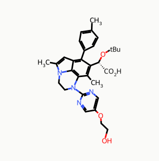 Cc1ccc(-c2c([C@H](OC(C)(C)C)C(=O)O)c(C)c3c4c2cc(C)n4CCN3c2ncc(OCCO)cn2)cc1